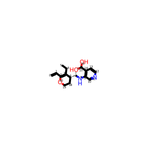 C=CC1=C(CC)[C@H](CNc2cnccc2C(O)O)CCO1